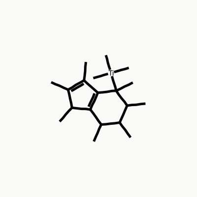 CC1=C(C)C(C)C2=C1[C](C)([Ti]([CH3])([CH3])[CH3])C(C)C(C)C2C